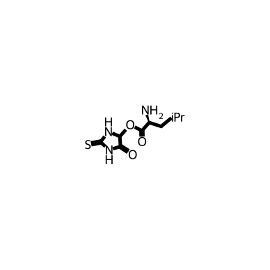 CC(C)C[C@H](N)C(=O)OC1NC(=S)NC1=O